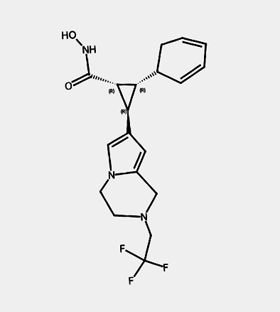 O=C(NO)[C@H]1[C@H](c2cc3n(c2)CCN(CC(F)(F)F)C3)[C@H]1C1C=CC=CC1